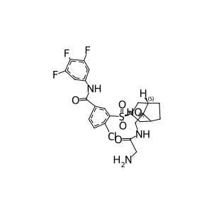 NCC(=O)NC[C@@]1(O)C2CC[C@H]1C[C@H](S(=O)(=O)c1cc(C(=O)Nc3cc(F)c(F)c(F)c3)ccc1Cl)C2